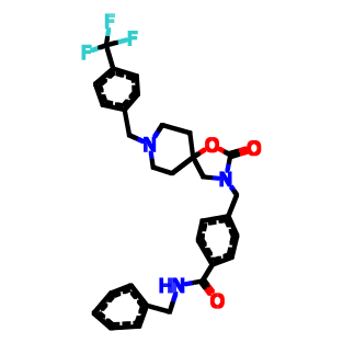 O=C(NCc1ccccc1)c1ccc(CN2CC3(CCN(Cc4ccc(C(F)(F)F)cc4)CC3)OC2=O)cc1